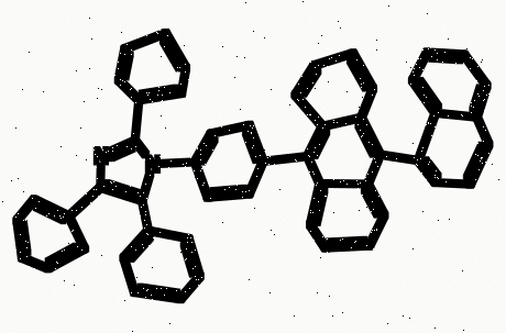 c1ccc(-c2nc(-c3ccccc3)n(-c3ccc(-c4c5ccccc5c(-c5cccc6ccccc56)c5ccccc45)cc3)c2-c2ccccc2)cc1